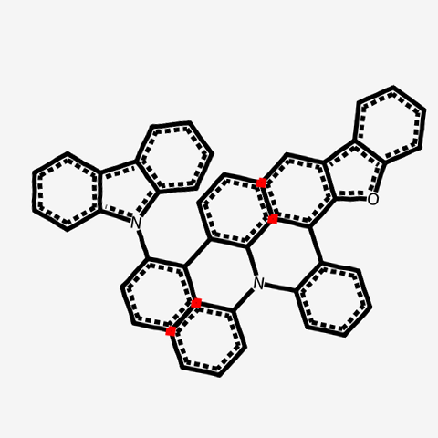 c1ccc(N(c2ccccc2-c2ccccc2-n2c3ccccc3c3ccccc32)c2ccccc2-c2cccc3c2oc2ccccc23)cc1